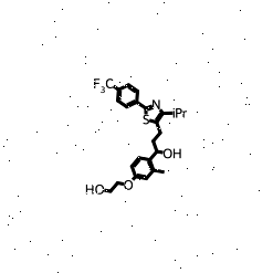 Cc1cc(OCCO)ccc1C(O)CCc1sc(-c2ccc(C(F)(F)F)cc2)nc1C(C)C